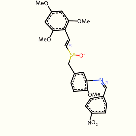 COc1cc(OC)c(/C=C/[S+]([O-])Cc2ccc(OC)c(/N=C\c3ccc([N+](=O)[O-])cc3)c2)c(OC)c1